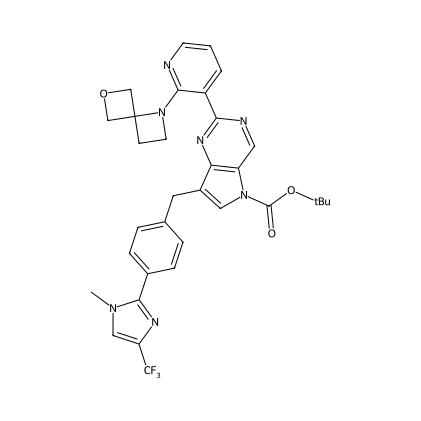 Cn1cc(C(F)(F)F)nc1-c1ccc(Cc2cn(C(=O)OC(C)(C)C)c3cnc(-c4cccnc4N4CCC45COC5)nc23)cc1